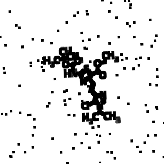 CCOC(=O)c1sc(NC(=O)OC(C)(C)C)nc1/C=C/c1ncn(C(C)C)c1Cl